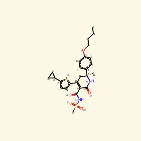 CCCCOc1ccc([C@]2(C)CC(c3ccc(C4CC4)s3)=C(C(=O)NS(C)(=O)=O)C(=O)N2)cc1